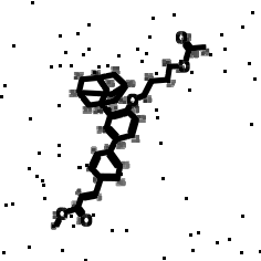 COC(=O)C=Cc1ccc(-c2ccc(OCCCCOC(C)=O)c(C34CC5CC(CC(C5)C3)C4)c2)cc1